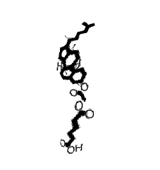 CC(C)CCC[C@@H](C)C1CC[C@H]2[C@]3(C)CC=C4C[C@@H](OC(=O)COC(=O)CCCCC(=O)O)CC[C@]4(C)[C@H]3CC[C@]12C